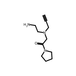 C#CCN(CCN)CC(=O)N1CCCC1